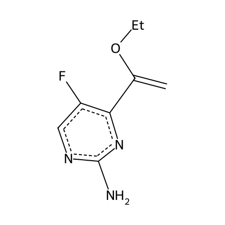 C=C(OCC)c1nc(N)ncc1F